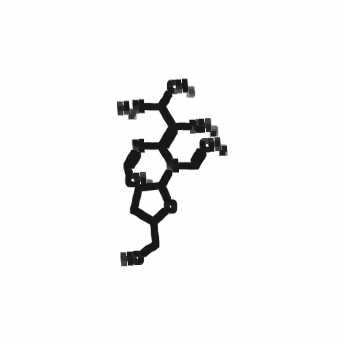 C=CN(C(/N=C\C)=C(\N)C(C)N)C1CCC(CO)O1